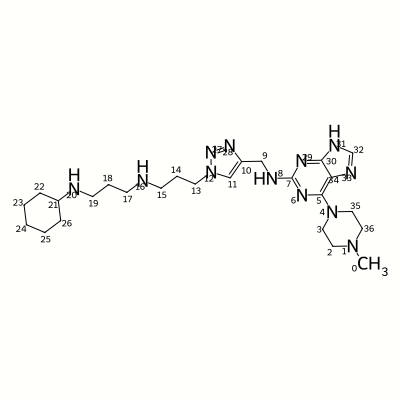 CN1CCN(c2nc(NCc3cn(CCCNCCCNC4CCCCC4)nn3)nc3[nH]cnc23)CC1